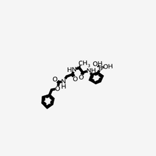 C[C@H](NC(=O)CNC(=O)OCc1ccccc1)C(=O)Nc1ccccc1B(O)O